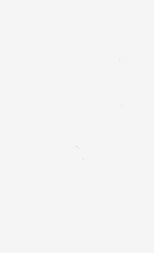 CC(CCC1NC(=O)N(C2CC3(CC(Oc4ncccc4C(N)=O)C3)C2)C1=O)C(F)(F)F